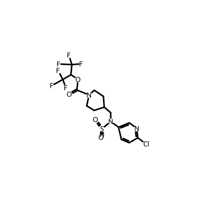 O=C(OC(C(F)(F)F)C(F)(F)F)N1CCC(CN(c2ccc(Cl)nc2)[SH](=O)=O)CC1